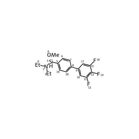 CCN(CC)[SiH](OC)c1ccc(-c2cc(F)c(F)c(F)c2)cc1